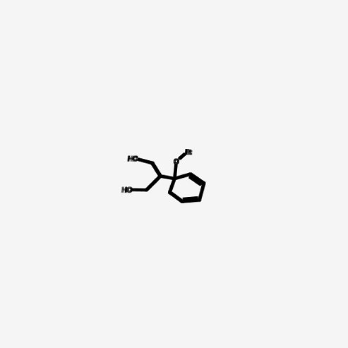 CCOC1(C(CO)CO)C=CC=CC1